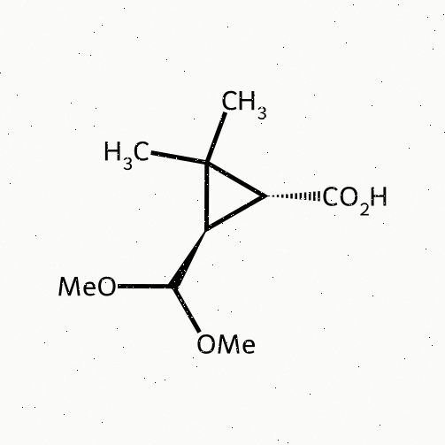 COC(OC)[C@@H]1[C@@H](C(=O)O)C1(C)C